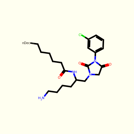 CCCCCCCCCCCCCCCC(=O)NC(CCCCN)CN1CC(=O)N(c2cccc(Cl)c2)C1=O